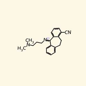 CN(C)CCC/N=C1\c2ccccc2CCc2c(C#N)cccc21